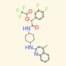 Cc1cc(NC2CCC(NC(=O)C(OC(=O)C(F)(F)F)c3ccc(F)c(F)c3)CC2)nc2ccccc12